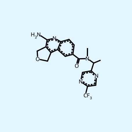 CC(c1cnc(C(F)(F)F)cn1)N(C)C(=O)c1ccc2nc(N)c3c(c2c1)COC3